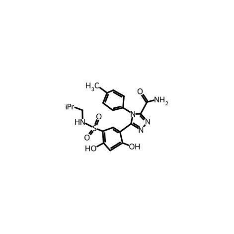 Cc1ccc(-n2c(C(N)=O)nnc2-c2cc(S(=O)(=O)NCC(C)C)c(O)cc2O)cc1